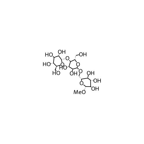 CO[C@@H]1O[C@H](CO[C@@H]2O[C@@H](CO)[C@H](O[C@@H]3O[C@@H](CO)[C@H](O)[C@@H](O)[C@@H]3O)[C@@H](O)[C@@H]2O)[C@@H](O)[C@H](O)[C@H]1O